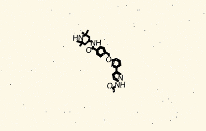 CC(=O)Nc1ccc(-c2cccc(OCc3ccc(C(=O)NC4CC(C)(C)NC(C)(C)C4)cc3)c2)cn1